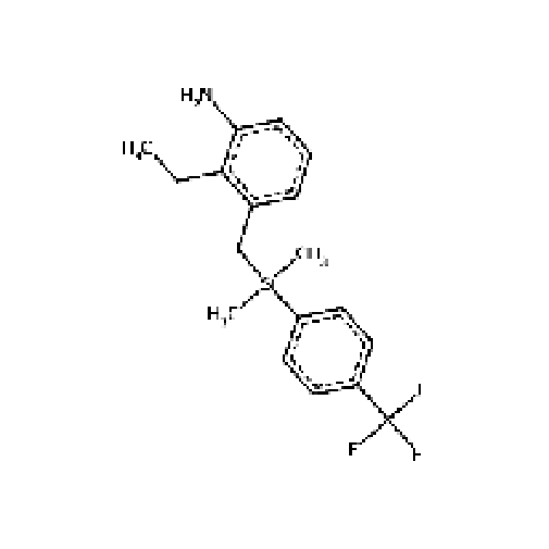 CCc1c(N)cccc1C[Si](C)(C)c1ccc(C(F)(F)F)cc1